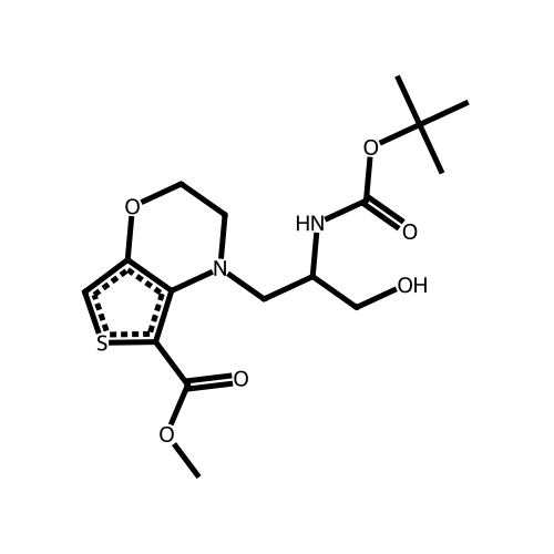 COC(=O)c1scc2c1N(CC(CO)NC(=O)OC(C)(C)C)CCO2